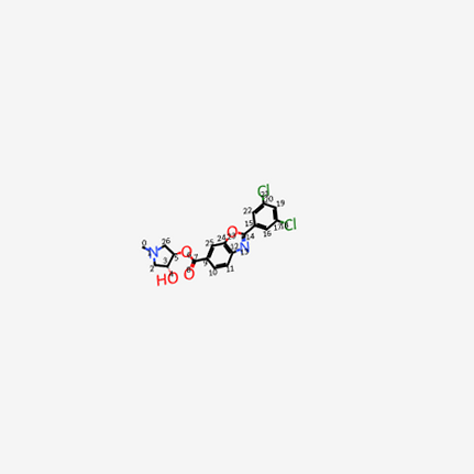 CN1C[C@@H](O)[C@H](OC(=O)c2ccc3nc(-c4cc(Cl)cc(Cl)c4)oc3c2)C1